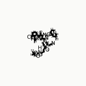 C[C@H](/C=C/C(=O)N1CCN(c2nc(OC[C@@]34CCCN3C[C@H](F)C4)nc3c(F)c(-c4cccc(Cl)c4C(F)(F)F)ncc23)C[C@@H]1CC#N)NC(=O)OC(C)(C)C